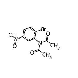 CC(=O)N(C(C)=O)c1cc([N+](=O)[O-])ccc1Br